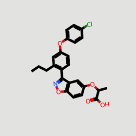 CCCc1cc(Oc2ccc(Cl)cc2)ccc1-c1noc2ccc(OC(C)C(=O)O)cc12